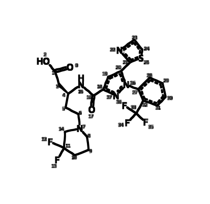 O=C(O)C[C@H](CCN1CCCC(F)(F)C1)NC(=O)c1cc(-c2nccs2)n(-c2ccccc2C(F)(F)F)n1